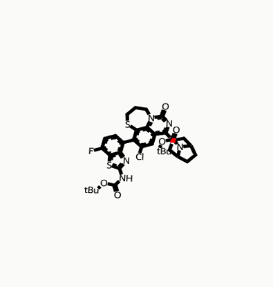 CC(C)(C)OC(=O)Nc1nc2c(-c3c(Cl)cc4c(N5CC6CCC(C5)N6C(=O)OC(C)(C)C)nc(=O)n5c4c3SCCC5)ccc(F)c2s1